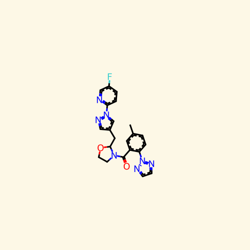 Cc1ccc(-n2nccn2)c(C(=O)N2CCOC2Cc2cnn(-c3ccc(F)cn3)c2)c1